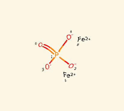 O=P([O-])([O-])[O-].[Fe+2].[Fe+2]